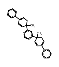 CC1(c2cc(C3(C)C=CC(c4ccccc4)=CC3)ncn2)C=CC(c2ccccc2)=CC1